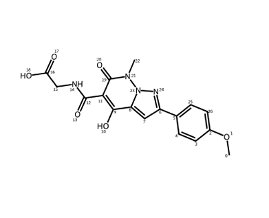 COc1ccc(-c2cc3c(O)c(C(=O)NCC(=O)O)c(=O)n(C)n3n2)cc1